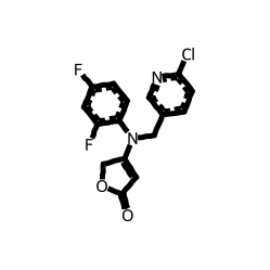 O=C1C=C(N(Cc2ccc(Cl)nc2)c2ccc(F)cc2F)CO1